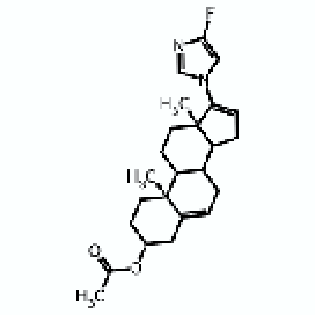 CC(=O)O[C@H]1CC[C@@]2(C)C(=CCC3C2CC[C@]2(C)C(n4cnc(F)c4)=CCC32)C1